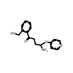 NC(CCC(=O)c1ccccc1CO)Oc1ccncc1